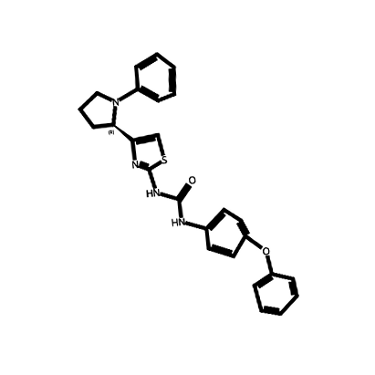 O=C(Nc1ccc(Oc2ccccc2)cc1)Nc1nc([C@H]2CCCN2c2ccccc2)cs1